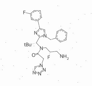 CC(C)(C)[C@H](c1nc(-c2cccc(F)c2)cn1Cc1ccccc1)N(C[C@@H](F)CN)C(=O)Cn1cnnn1